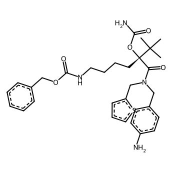 CC(C)(C)[C@@](CCCCNC(=O)OCc1ccccc1)(OC(N)=O)C(=O)N(Cc1ccc(N)cc1)Cc1cccs1